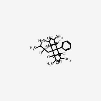 [SiH3]C(Cl)C(Cl)(Cl)CC(C(Cl)(Cl)C([SiH3])Cl)(C(Cl)(Cl)C([SiH3])Cl)C(c1ccccc1)(C(Cl)(Cl)C([SiH3])Cl)C(Cl)(Cl)C([SiH3])Cl